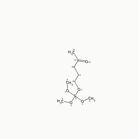 CO[Si](OC)(OC)OCCCC(C)=O